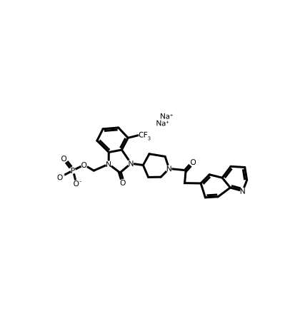 O=C(Cc1ccc2ncccc2c1)N1CCC(n2c(=O)n(COP(=O)([O-])[O-])c3cccc(C(F)(F)F)c32)CC1.[Na+].[Na+]